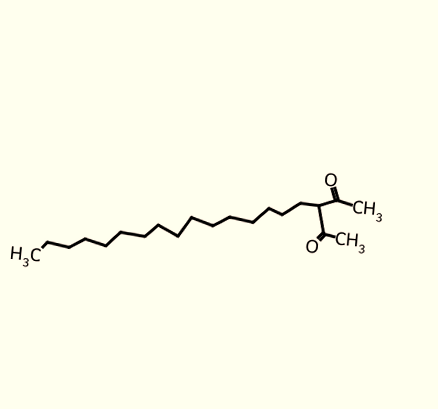 CCCCCCCCCCCCCCCCC(C(C)=O)C(C)=O